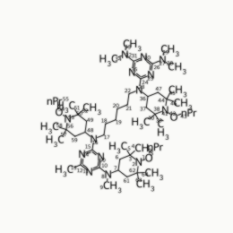 CCCON1C(C)(C)CC(N(C)c2nc(C)nc(N(CCCCCCN(c3nc(N(C)C)nc(N(C)C)n3)C3CC(C)(C)N(OCCC)C(C)(C)C3)C3CC(C)(C)N(OCCC)C(C)(C)C3)n2)CC1(C)C